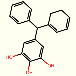 Oc1cc(C(C2=CC=CCC2)c2ccccc2)cc(O)c1O